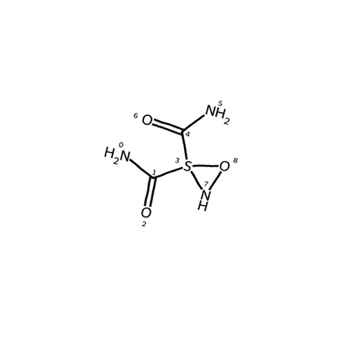 NC(=O)S1(C(N)=O)NO1